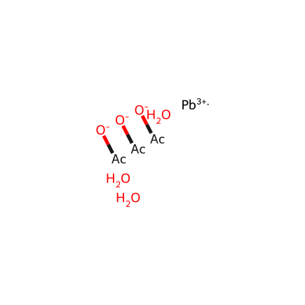 CC(=O)[O-].CC(=O)[O-].CC(=O)[O-].O.O.O.[Pb+3]